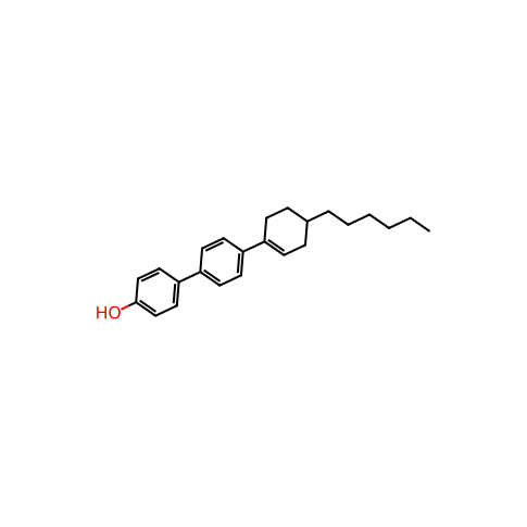 CCCCCCC1CC=C(c2ccc(-c3ccc(O)cc3)cc2)CC1